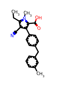 CCc1c(C#N)c(-c2ccc(Cc3cccc(C)c3)cc2)c(C(=O)O)n1C